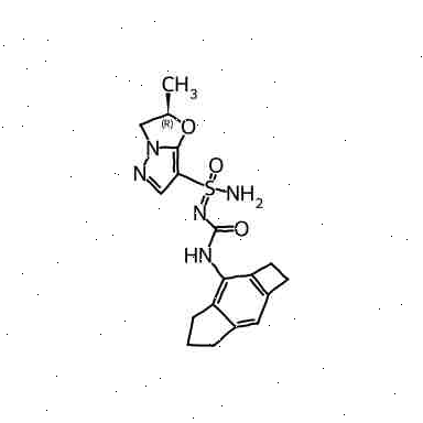 C[C@@H]1Cn2ncc(S(N)(=O)=NC(=O)Nc3c4c(cc5c3CC5)CCC4)c2O1